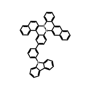 c1cc(-c2ccc3c(c2)-c2c(ccc4ccccc24)B2c4ccccc4-c4cc5ccccc5cc4N23)cc(-n2c3ccccc3c3ccccc32)c1